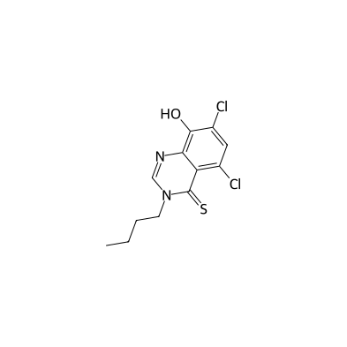 CCCCn1cnc2c(O)c(Cl)cc(Cl)c2c1=S